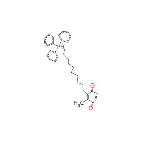 CC1=C(CCCCCCCCCC[PH](c2ccccc2)(c2ccccc2)c2ccccc2)C(=O)C=CC1=O